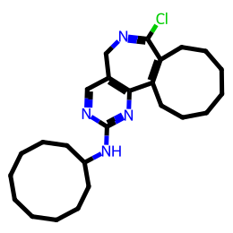 ClC1=NCc2cnc(NC3CCCCCCCCC3)nc2C2=C1CCCCCCC2